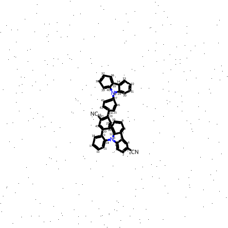 N#Cc1ccc2c(c1)c1ccccc1n2-c1ccccc1-c1ccc(-c2ccc(-n3c4ccccc4c4ccccc43)cc2)c(C#N)c1